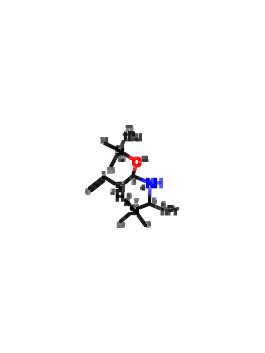 C=C[SiH2]C(NC(CCC)[Si](C)(C)C)O[Si](C)(C)C(C)(C)C